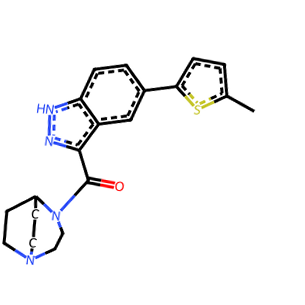 Cc1ccc(-c2ccc3[nH]nc(C(=O)N4CCN5CCC4CC5)c3c2)s1